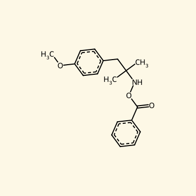 COc1ccc(CC(C)(C)NOC(=O)c2ccccc2)cc1